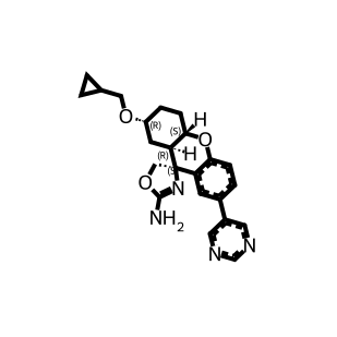 NC1=N[C@]2(CO1)c1cc(-c3cncnc3)ccc1O[C@H]1CC[C@@H](OCC3CC3)C[C@@H]12